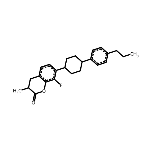 CCCc1ccc(C2CCC(c3ccc4c(c3F)OC(=O)C(C)C4)CC2)cc1